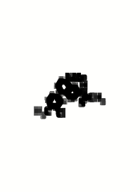 CN[C@H]1CC[C@@H](c2ccc(C)c(Cl)c2)c2ccc(NC(C)=S)cc21